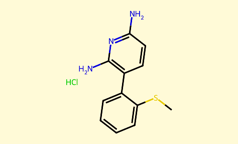 CSc1ccccc1-c1ccc(N)nc1N.Cl